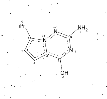 CC(C)c1ccc2c(O)nc(N)nn12